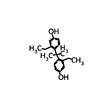 CCc1cc(O)ccc1C(C)(C)c1ccc(O)cc1CC